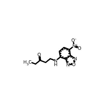 CCC(=O)CCNc1ccc([N+](=O)[O-])c2nonc12